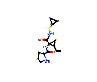 C=CC1CC1(NC(=O)C1CCCN1C)C(=O)NSC1CC1